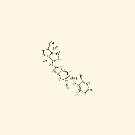 O[C@@H]1CO[C@H]2[C@@H]1OC[C@H]2Oc1cc2nc(NCc3c(F)cccc3F)c(F)cc2[nH]1